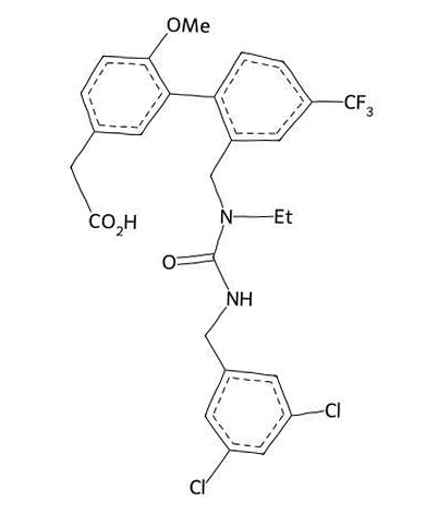 CCN(Cc1cc(C(F)(F)F)ccc1-c1cc(CC(=O)O)ccc1OC)C(=O)NCc1cc(Cl)cc(Cl)c1